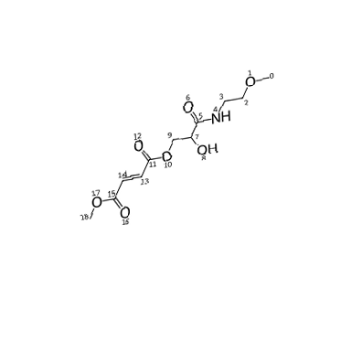 COCCNC(=O)C(O)COC(=O)/C=C/C(=O)OC